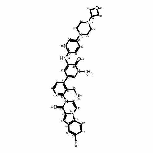 Cn1cc(-c2ccnc(-n3ccn4c(cc5cc(F)ccc54)c3=O)c2CO)cc(Nc2ccc(N3CCN(C4COC4)CC3)cn2)c1=O